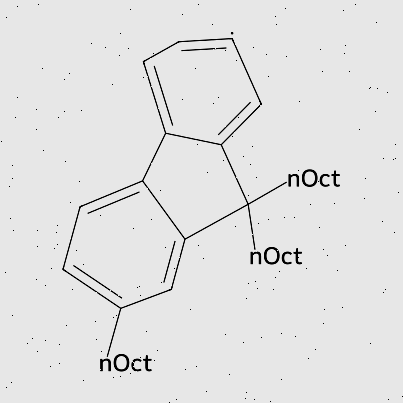 CCCCCCCCc1ccc2c(c1)C(CCCCCCCC)(CCCCCCCC)c1c[c]ccc1-2